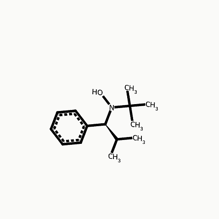 CC(C)[C@@H](c1ccccc1)N(O)C(C)(C)C